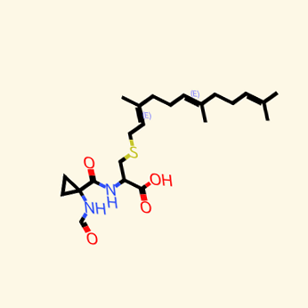 CC(C)=CCC/C(C)=C/CC/C(C)=C/CSCC(NC(=O)C1(NC=O)CC1)C(=O)O